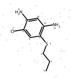 CCCSc1cc(Cl)c(N)cc1N